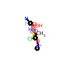 Cc1c(S(=O)(=O)NCP(=O)(O)Oc2ccc(C#N)c(F)c2)sc2c(Cl)cc(OCC[n+]3ccccc3)cc12